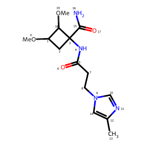 COC1CC(NC(=O)CCn2cnc(C)c2)(C(N)=O)C1OC